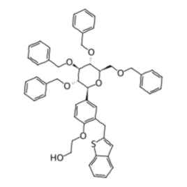 OCCOc1ccc([C@@H]2O[C@H](COCc3ccccc3)[C@@H](OCc3ccccc3)[C@H](OCc3ccccc3)[C@H]2OCc2ccccc2)cc1Cc1cc2ccccc2s1